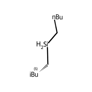 CCCCC[SiH2]C[C@@H](C)CC